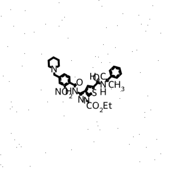 CCOC(=O)n1nc(NC(=O)c2ccc(CN3CCCCC3)cc2[N+](=O)[O-])c2cc(C(=O)NC(C)(C)c3ccccc3)sc21